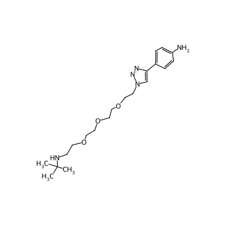 CC(C)(C)NCCOCCOCCOCCn1cc(-c2ccc(N)cc2)nn1